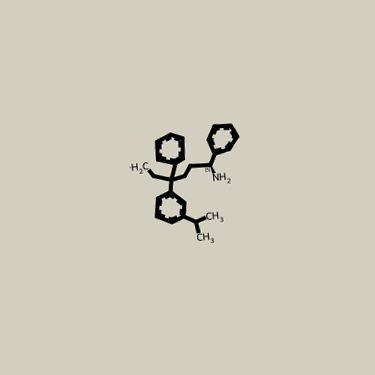 [CH2]CC(CC[C@H](N)c1ccccc1)(c1ccccc1)c1cccc(C(C)C)c1